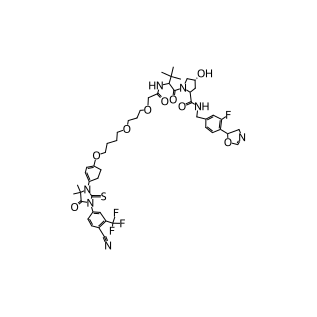 CC(C)(C)C(NC(=O)COCCCOCCCCOC1=CC=C(N2C(=S)N(c3ccc(C#N)c(C(F)(F)F)c3)C(=O)C2(C)C)CC1)C(=O)N1C[C@H](O)CC1C(=O)NCc1ccc(C2CN=CO2)c(F)c1